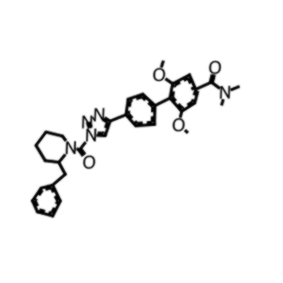 COc1cc(C(=O)N(C)C)cc(OC)c1-c1ccc(-c2cn(C(=O)N3CCCCC3Cc3ccccc3)nn2)cc1